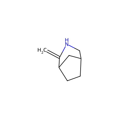 C=C1NCC2CCC1C2